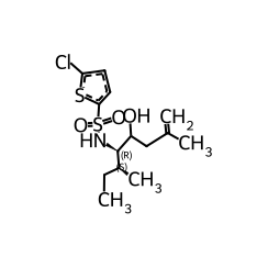 C=C(C)CC(O)[C@H](NS(=O)(=O)c1ccc(Cl)s1)[C@@H](C)CC